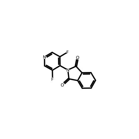 O=C1c2ccccc2C(=O)N1c1c(F)cncc1F